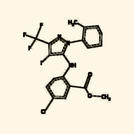 COC(=O)c1cc(Cl)ccc1Nc1c(I)c(C(F)(F)F)nn1-c1ccccc1C